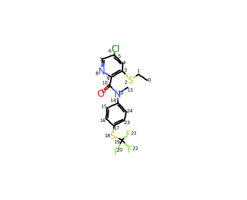 CCSc1cc(Cl)cnc1C(=O)N(C)c1ccc(SC(F)(F)F)cc1